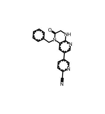 N#Cc1ccc(-c2cnc3c(c2)N(Cc2ccccc2)C(=O)CN3)cn1